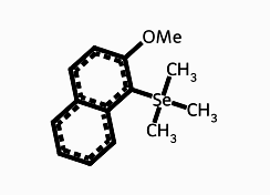 COc1ccc2ccccc2c1[Se](C)(C)C